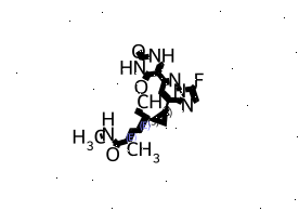 C=C/C(=C\C=C(/C)C(=O)NC)[C@H]1C[C@@H]1c1cc(-c2c[nH]c(=O)[nH]c2=O)nn2c(F)cnc12